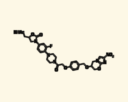 CC(=O)NCC1CN(c2ccc(N3CCN(C(=O)COc4ccc(COC5COc6nc([N+](=O)[O-])cn6C5)cc4)CC3)c(F)c2)C(=O)O1